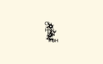 Cc1nc(Nc2cccc(Cl)c2C)c2ncc(N(C)[C@@H](C)CO)cc2n1